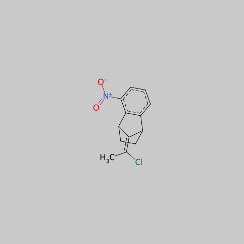 C/C(Cl)=C1/C2CCC1c1c2cccc1[N+](=O)[O-]